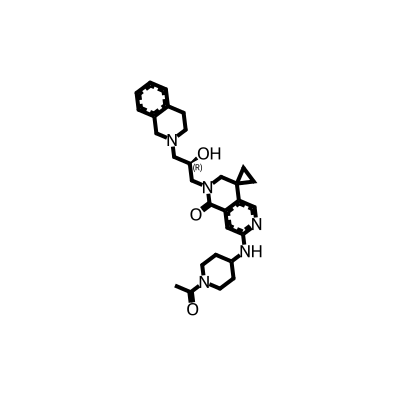 CC(=O)N1CCC(Nc2cc3c(cn2)C2(CC2)CN(C[C@H](O)CN2CCc4ccccc4C2)C3=O)CC1